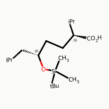 CC(C)C[C@H](CC[C@H](C(=O)O)C(C)C)O[Si](C)(C)C(C)(C)C